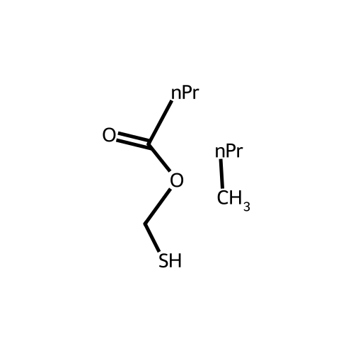 CCCC.CCCC(=O)OCS